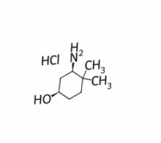 CC1(C)CC[C@@H](O)C[C@H]1N.Cl